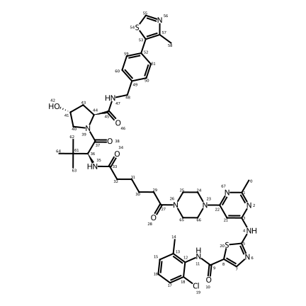 Cc1nc(Nc2ncc(C(=O)Nc3c(C)cccc3Cl)s2)cc(N2CCN(C(=O)CCCCC(=O)N[C@H](C(=O)N3C[C@H](O)C[C@H]3C(=O)NCc3ccc(-c4scnc4C)cc3)C(C)(C)C)CC2)n1